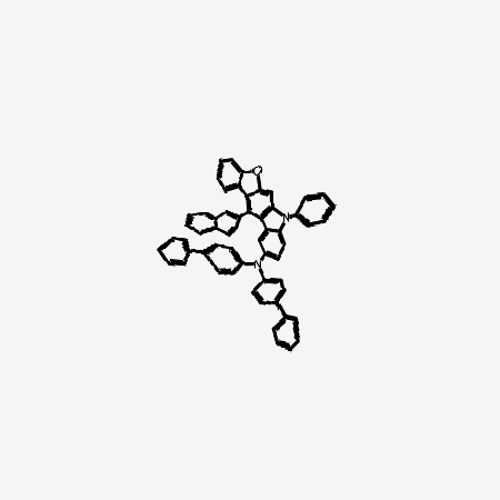 c1ccc(-c2ccc(N(c3ccc(-c4ccccc4)cc3)c3ccc4c(c3)c3c(-c5ccc6ccccc6c5)c5c(cc3n4-c3ccccc3)oc3ccccc35)cc2)cc1